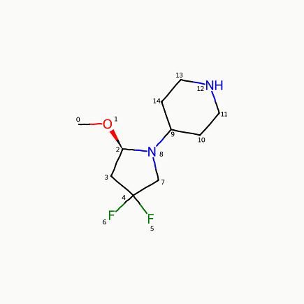 CO[C@@H]1CC(F)(F)CN1C1CCNCC1